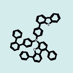 c1ccc(-c2ccccc2-c2ccc(N(c3ccc(-c4cccc5c4sc4ccccc45)cc3)c3ccc(-c4ccccc4)c4c3oc3c(-c5ccccc5)cccc34)cc2)cc1